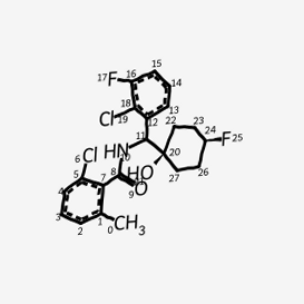 Cc1cccc(Cl)c1C(=O)NC(c1cccc(F)c1Cl)[C@]1(O)CC[C@@H](F)CC1